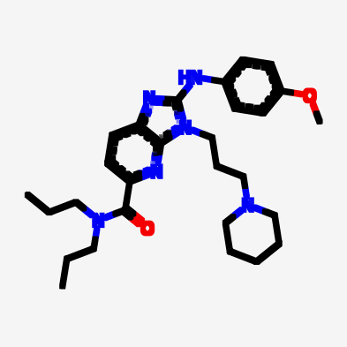 CCCN(CCC)C(=O)c1ccc2nc(Nc3ccc(OC)cc3)n(CCCN3CCCCC3)c2n1